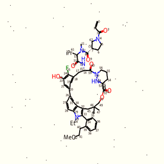 C=CC(=O)N1CC[C@H](C(=O)N(C)C(C(=O)N[C@H]2Cc3cc(cc(O)c3F)-c3ccc4c(c3)c(c(-c3ccccc3CCOC)n4CC)CC(C)(C)COC(=O)[C@@H]3CCCN(N3)C2=O)C(C)C)C1